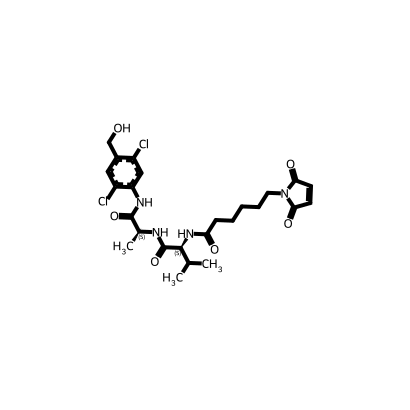 CC(C)[C@H](NC(=O)CCCCCN1C(=O)C=CC1=O)C(=O)N[C@@H](C)C(=O)Nc1cc(Cl)c(CO)cc1Cl